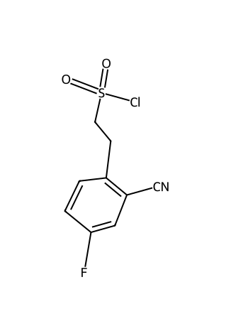 N#Cc1cc(F)ccc1CCS(=O)(=O)Cl